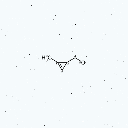 CC1=CC1C[O]